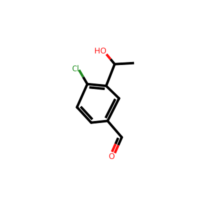 CC(O)c1cc(C=O)ccc1Cl